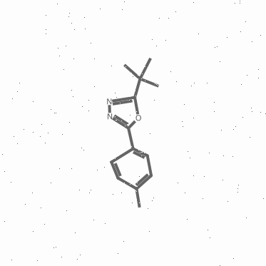 Cc1ccc(-c2nnc(C(C)(C)C)o2)cc1